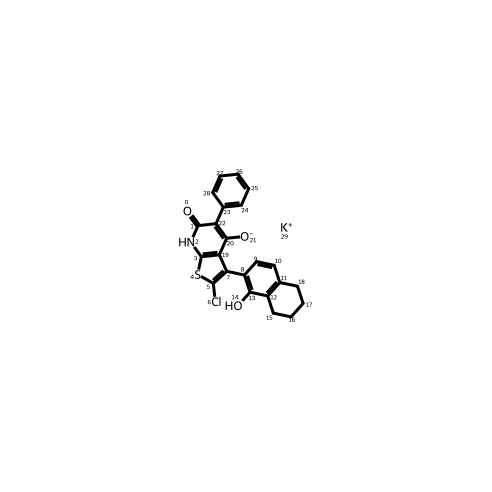 O=c1[nH]c2sc(Cl)c(-c3ccc4c(c3O)CCCC4)c2c([O-])c1-c1ccccc1.[K+]